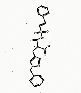 O=C(O)C(Cc1cnn(Cc2ccccc2)c1)C(=O)NS(=O)(=O)/C=C/c1ccccc1